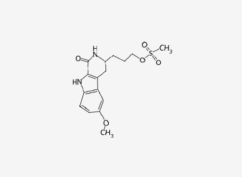 COc1ccc2[nH]c3c(c2c1)CC(CCCOS(C)(=O)=O)NC3=O